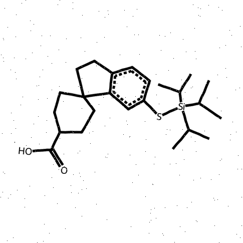 CC(C)[Si](Sc1ccc2c(c1)C1(CC2)CCC(C(=O)O)CC1)(C(C)C)C(C)C